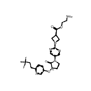 CNCCOC(=O)C1CN(c2ncc(N3CC[C@@H](Oc4ccc(CCC(C)(F)F)nc4)C3=O)cn2)C1